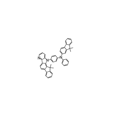 CC1(C)c2ccccc2-c2ccc(N(c3ccccc3)c3ccc(-n4c5cccnc5c5ccc6c(c54)C(C)(C)c4ccccc4-6)cc3)cc21